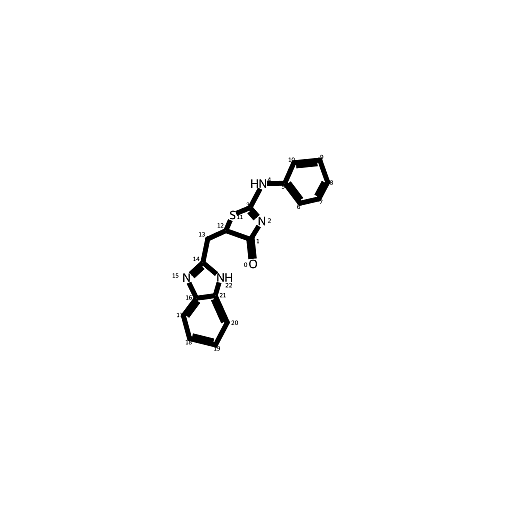 O=C1N=C(Nc2ccccc2)SC1Cc1nc2ccccc2[nH]1